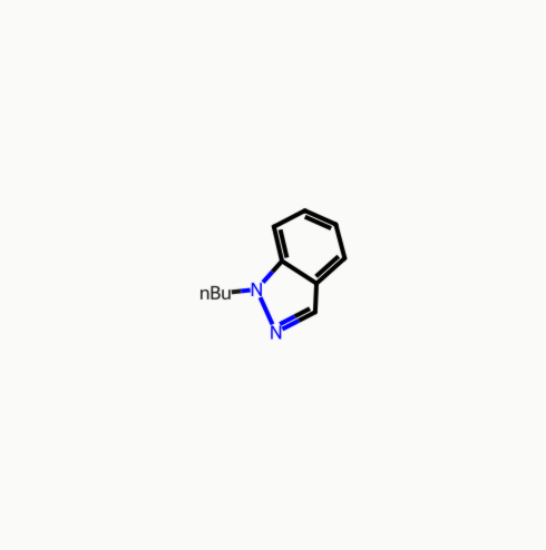 CCCCn1ncc2ccccc21